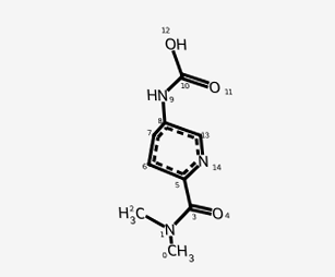 CN(C)C(=O)c1ccc(NC(=O)O)cn1